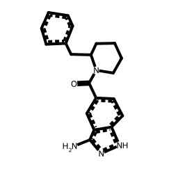 Nc1n[nH]c2ccc(C(=O)N3CCCCC3Cc3ccccc3)cc12